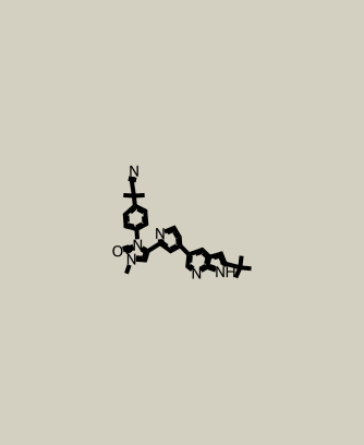 Cn1cc(-c2cc(-c3cnc4[nH]c(C(C)(C)C)cc4c3)ccn2)n(-c2ccc(C(C)(C)C#N)cc2)c1=O